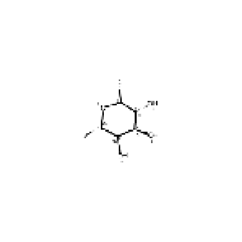 C[C@@H]1OC(F)[C@H](O)[C@@H](O)[C@H]1O